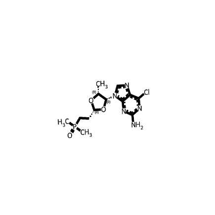 C[C@H]1O[C@@H](CCP(C)(C)=O)O[C@H]1n1cnc2c(Cl)nc(N)nc21